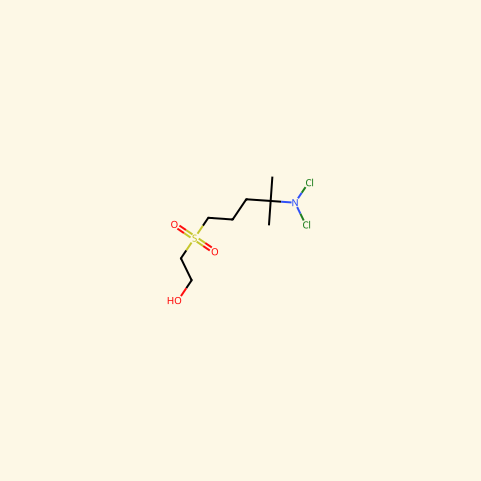 CC(C)(CCCS(=O)(=O)CCO)N(Cl)Cl